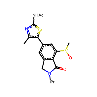 CC(=O)Nc1nc(C)c(-c2cc3c(c([S+](C)[O-])c2)C(=O)N(C(C)C)C3)s1